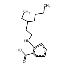 CCCCC(CC)CCNc1ccccc1C(=O)O